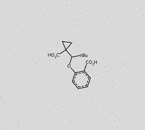 CCCCC(Oc1ccccc1C(=O)O)C1(C(=O)O)CC1